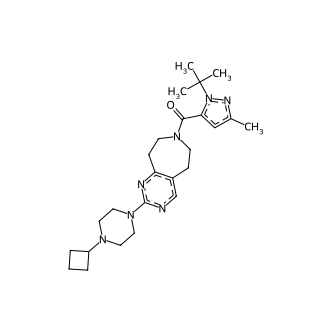 Cc1cc(C(=O)N2CCc3cnc(N4CCN(C5CCC5)CC4)nc3CC2)n(C(C)(C)C)n1